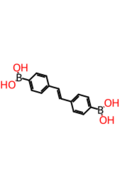 OB(O)c1ccc(C=Cc2ccc(B(O)O)cc2)cc1